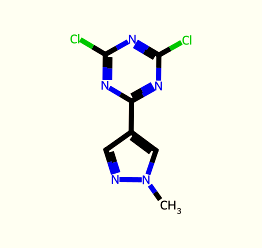 Cn1cc(-c2nc(Cl)nc(Cl)n2)cn1